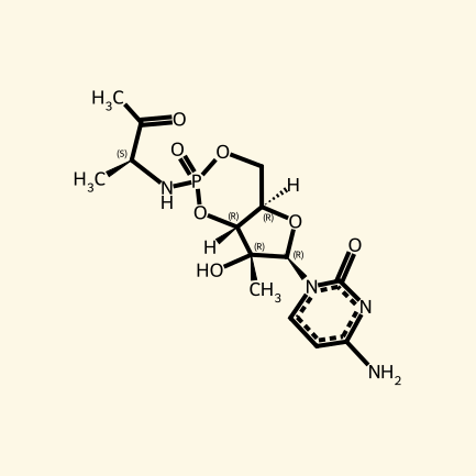 CC(=O)[C@H](C)NP1(=O)OC[C@H]2O[C@@H](n3ccc(N)nc3=O)[C@](C)(O)[C@@H]2O1